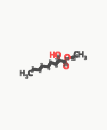 CCCCCCCC(O)C(=O)OCC